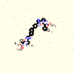 COC(=O)N[C@H](C(=O)N1C[C@H](C)C[C@H]1c1ncc(-c2ccc3cc(-c4ccc(-c5cnc([C@@H]6CCCN6C(=O)[C@H](NC(=O)OC)c6cccc(C)c6)[nH]5)cc4)ccc3c2)[nH]1)C(C)C